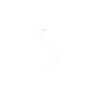 CC1(n2cc(Cc3ccc4c5c(cccc35)C(=O)N4C3CCC(=O)NC3=O)cn2)CCN(C(=O)C2(C#N)CC2)CC1